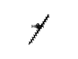 CCCCCCCCCCCSCC(COCCCCCCCCCC)CP(=O)(O)O